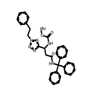 CC(C)(C)OC(=O)NC(CC(=O)NC(c1ccccc1)(c1ccccc1)c1ccccc1)c1nnn(CCc2ccccc2)n1